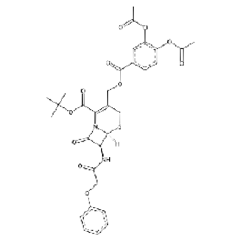 CC(=O)Oc1ccc(C(=O)OCC2=C(C(=O)OC(C)(C)C)N3C(=O)[C@H](NC(=O)COc4ccccc4)[C@@H]3SC2)cc1OC(C)=O